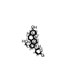 CCO.C[C@]12CC[C@H](O)C[C@H]1CC[C@@H]1[C@@H]2CC[C@]2(C)[C@@H](c3ccc(=O)oc3)CC[C@]12O